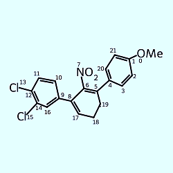 COc1ccc(C2=C([N+](=O)[O-])C(c3ccc(Cl)c(Cl)c3)=CC[CH]2)cc1